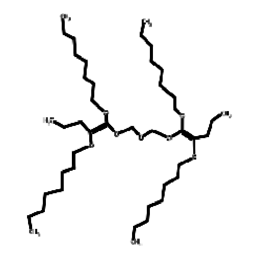 CCCCCCCCOC(CCC)=C(OCCCCCCCC)OCOCOC(OCCCCCCCC)=C(CCC)OCCCCCCCC